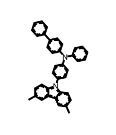 Cc1ccc2c(c1)c1cc(C)ccc1n2-c1ccc(N(c2ccccc2)c2ccc(-c3ccccc3)cc2)cc1